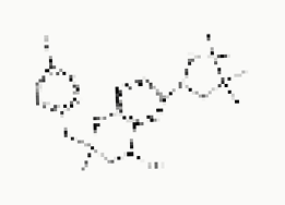 CC1(Cc2ccc(F)cc2)CC(O)c2cc(B3OC(C)(C)C(C)(C)O3)ccc2O1